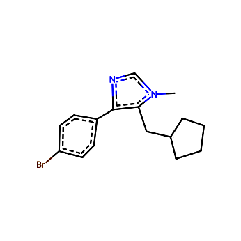 Cn1cnc(-c2ccc(Br)cc2)c1C[C]1CCCC1